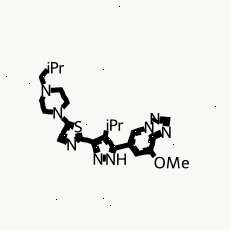 COc1cc(-c2[nH]nc(-c3ncc(N4CCN(CC(C)C)CC4)s3)c2C(C)C)cn2ncnc12